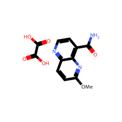 COc1ccc2nccc(C(N)=O)c2n1.O=C(O)C(=O)O